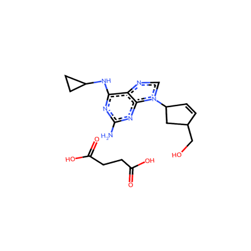 Nc1nc(NC2CC2)c2ncn(C3C=CC(CO)C3)c2n1.O=C(O)CCC(=O)O